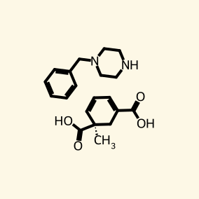 C[C@]1(C(=O)O)C=CC=C(C(=O)O)C1.c1ccc(CN2CCNCC2)cc1